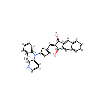 O=C1C(=CC2=CC=C(N3c4ccccc4[Te]c4ncccc43)C2)C(=O)c2cc3ccccc3cc21